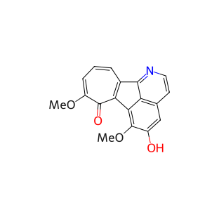 COc1c(O)cc2ccnc3c2c1-c1c-3cccc(OC)c1=O